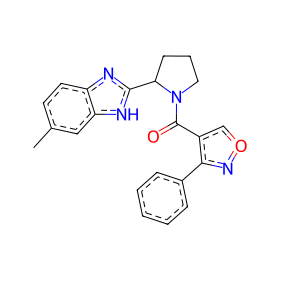 Cc1ccc2nc(C3CCCN3C(=O)c3conc3-c3ccccc3)[nH]c2c1